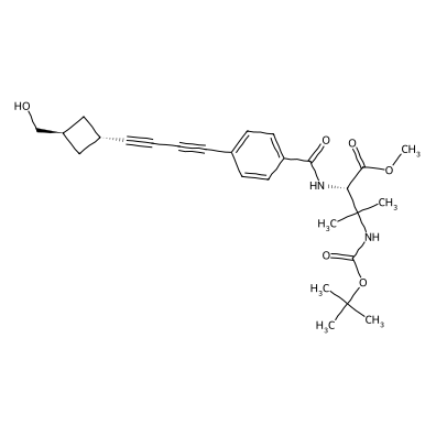 COC(=O)[C@@H](NC(=O)c1ccc(C#CC#C[C@H]2C[C@H](CO)C2)cc1)C(C)(C)NC(=O)OC(C)(C)C